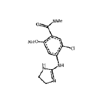 CNC(=O)c1cc(Cl)c(NC2=NCCN2)cc1OC